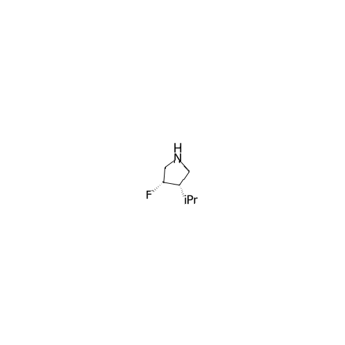 CC(C)[C@H]1CNC[C@H]1F